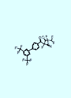 N#CC(F)(C(=O)c1ccc(-c2cc(C(F)(F)F)cc(C(F)(F)F)c2)cc1)C(=O)C(F)(F)C(F)F